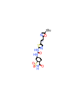 CC(C)(C)c1cnc(/C=C/c2cnc(NC(=O)NC3=CC4C(C=C3)C(=O)NS4(=O)=O)s2)o1